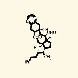 CC(C)CCCC(C)[C@H]1CC[C@H]2[C@H](C=O)[C@@H]([C@@]3(C)Cc4nccnc4C[C@@H]3C=O)CC[C@]12C